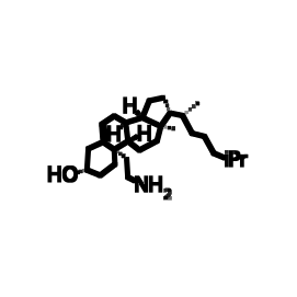 CC(C)CCC[C@@H](C)[C@H]1CC[C@H]2[C@@H]3CC=C4C[C@@H](O)CC[C@]4(CCN)[C@H]3CC[C@]12C